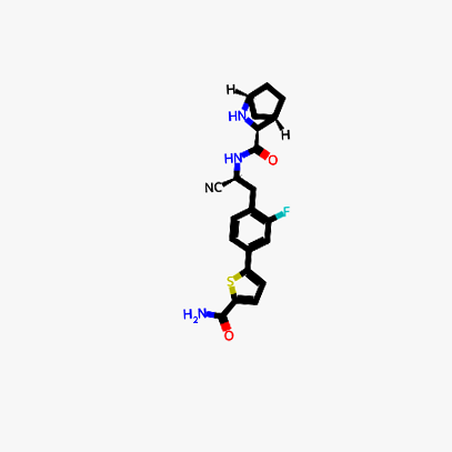 N#C[C@H](Cc1ccc(-c2ccc(C(N)=O)s2)cc1F)NC(=O)[C@H]1N[C@@H]2CC[C@H]1C2